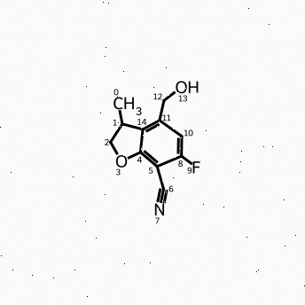 CC1COc2c(C#N)c(F)cc(CO)c21